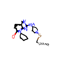 CSCSN1CCC(Nc2ncc3ccc(=O)n(C4CCCC4)c3n2)CC1